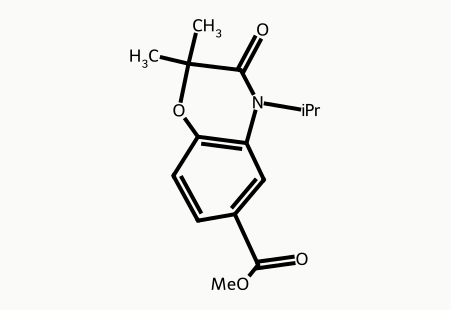 COC(=O)c1ccc2c(c1)N(C(C)C)C(=O)C(C)(C)O2